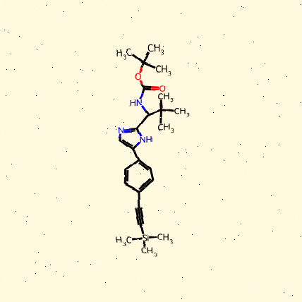 CC(C)(C)OC(=O)NC(c1ncc(-c2ccc(C#C[Si](C)(C)C)cc2)[nH]1)C(C)(C)C